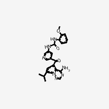 COc1ccccc1NC(=O)Nc1cncc(C(=O)c2cc(C(C)C)n3ncnc(N)c23)c1